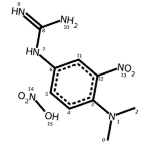 CN(C)c1ccc(NC(=N)N)cc1[N+](=O)[O-].O=[N+]([O-])O